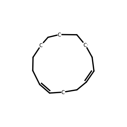 [CH]1C/C=C\CC/C=C\CCCCCC1